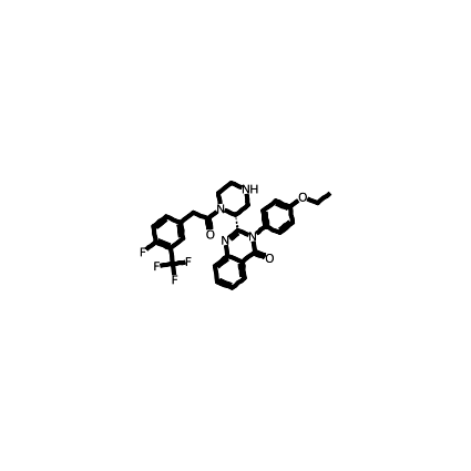 CCOc1ccc(-n2c([C@H]3CNCCN3C(=O)Cc3ccc(F)c(C(F)(F)F)c3)nc3ccccc3c2=O)cc1